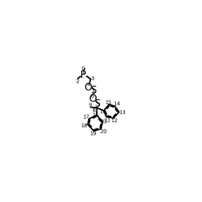 CP(C)COSOSC(C)(c1ccccc1)c1ccccc1